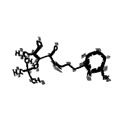 CC(=O)C(OC(C)(C)C)C(=O)[N]CCc1cccc(Br)n1